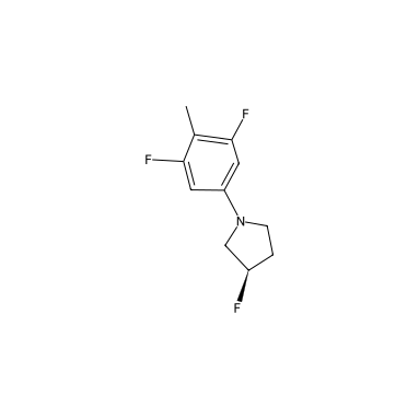 Cc1c(F)cc(N2CC[C@@H](F)C2)cc1F